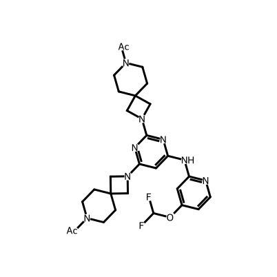 CC(=O)N1CCC2(CC1)CN(c1cc(Nc3cc(OC(F)F)ccn3)nc(N3CC4(CCN(C(C)=O)CC4)C3)n1)C2